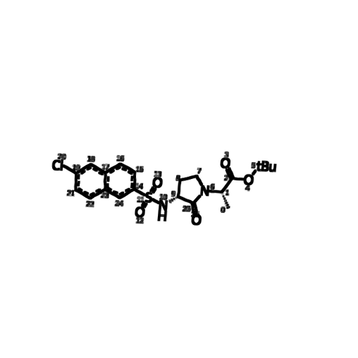 C[C@@H](C(=O)OC(C)(C)C)N1CC[C@@H](NS(=O)(=O)c2ccc3cc(Cl)ccc3c2)C1=O